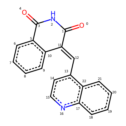 O=C1NC(=O)c2ccccc2/C1=C\c1ccnc2ccccc12